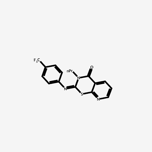 CCCn1c(=Nc2ccc(C(F)(F)F)cc2)sc2ncccc2c1=O